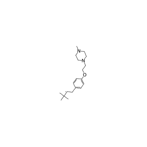 CN1CCN(CCOc2ccc(C[CH]C(C)(C)C)cc2)CC1